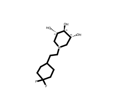 O[C@H]1[C@H](O)CN(CCC2CCC(F)(F)CC2)C[C@@H]1O